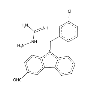 N=C(N)NN.O=Cc1ccc2c(c1)c1ccccc1n2Cc1cccc(Cl)c1